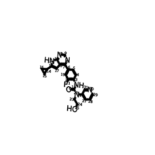 O=C(Nc1ccc(-c2ncnc3[nH]c(C4CC4)cc23)cc1F)N(CCO)c1cccnc1